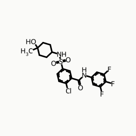 CC1(O)CCC(NS(=O)(=O)c2ccc(Cl)c(C(=O)Nc3cc(F)c(F)c(F)c3)c2)CC1